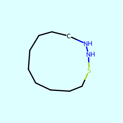 C1CCCCNNSCCCC1